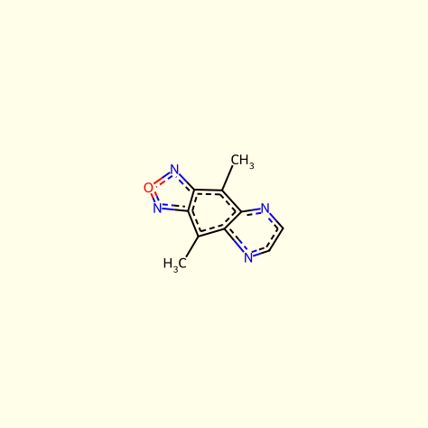 Cc1c2nccnc2c(C)c2nonc12